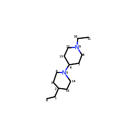 CCC1CCN(C2CCN(CC)CC2)CC1